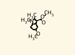 CCOC(=O)c1c(C)n(C)c2ccc(OC)cc12